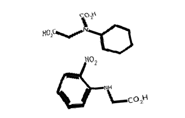 O=C(O)CN(C(=O)O)C1CCCCC1.O=C(O)CNc1ccccc1[N+](=O)[O-]